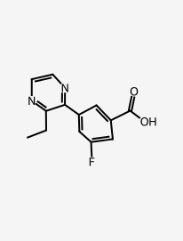 CCc1nccnc1-c1cc(F)cc(C(=O)O)c1